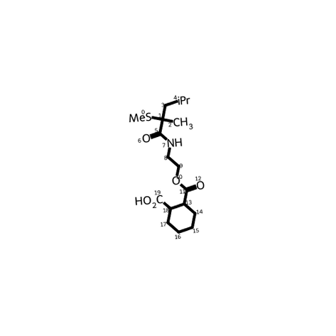 CSC(C)(CC(C)C)C(=O)NCCOC(=O)C1CCCCC1C(=O)O